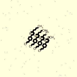 CCCCCc1ccc(C2CCC(/C=C/Cl)CC2)nc1.CCCCc1ccc(C2CCC(/C=C/Cl)CC2)nc1.CCCc1ccc(C2CCC(/C=C/Cl)CC2)nc1.COc1ccc(C2CCC(/C=C/Cl)CC2)nc1